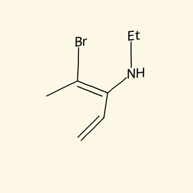 C=CC(NCC)=C(C)Br